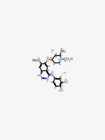 COc1cc2ncnc(Nc3ccc(Cl)c(Cl)c3F)c2cc1O[C@@H]1CCN(C(=O)O)C(C(C)(C)C)[C@H]1F